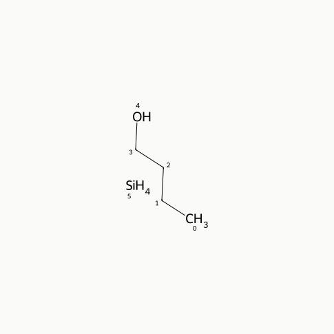 CCCCO.[SiH4]